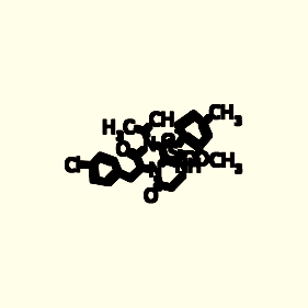 COc1cc(C)ccc1S(=O)(=O)C12CN(C(C)C)C(=O)C(Cc3ccc(Cl)cc3)N1C(=O)CCN2